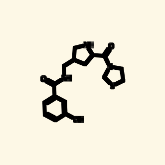 O=C(NCC1CNC(C(=O)N2CCSC2)C1)c1cccc(O)c1